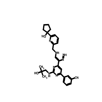 CC(C)(O)CNc1nc(/C(=C/NCc2cccc(C3(O)CCCC3)n2)N=N)cc(-c2cccc(C#N)c2)n1